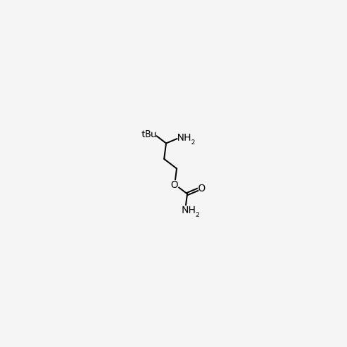 CC(C)(C)C(N)CCOC(N)=O